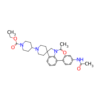 CCOC(=O)N1CCC(N2CCC3(CC2)CN(C(C)=O)c2c(-c4ccc(NC(C)=O)cc4)cccc23)CC1